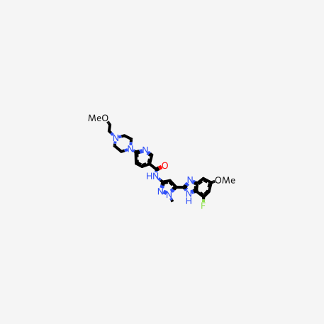 COCCN1CCN(c2ccc(C(=O)Nc3cc(-c4nc5cc(OC)cc(F)c5[nH]4)n(C)n3)cn2)CC1